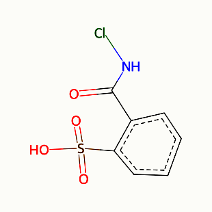 O=C(NCl)c1ccccc1S(=O)(=O)O